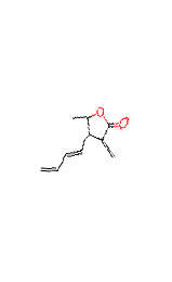 C=CC=CC1C(=C)C(=O)OC1C